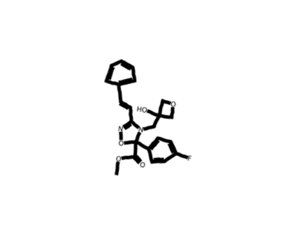 COC(=O)C1(c2ccc(F)cc2)ON=C(/C=C/c2ccccc2)N1CC1(O)COC1